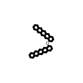 c1ccc2cc3cc4cc5c(Oc6cccc7cc8cc9cc%10ccccc%10cc9cc8cc67)cccc5cc4cc3cc2c1